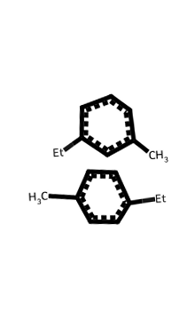 CCc1ccc(C)cc1.CCc1cccc(C)c1